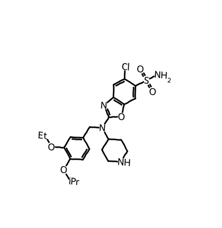 CCOc1cc(CN(c2nc3cc(Cl)c(S(N)(=O)=O)cc3o2)C2CCNCC2)ccc1OC(C)C